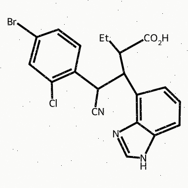 CCC(C(=O)O)C(c1cccc2[nH]cnc12)C(C#N)c1ccc(Br)cc1Cl